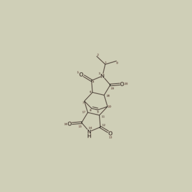 CC(C)N1C(=O)C2C3C=CC(C4C(=O)NC(=O)C34)C2C1=O